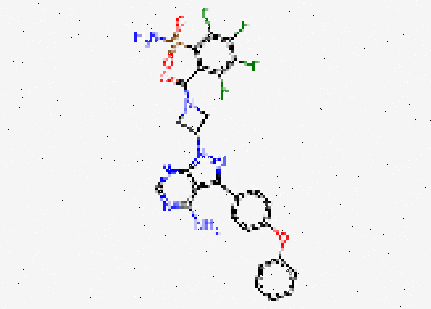 Nc1ncnc2c1c(-c1ccc(Oc3ccccc3)cc1)nn2C1CN(C(=O)c2c(F)c(F)c(F)c(F)c2S(N)(=O)=O)C1